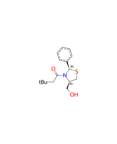 CC(C)(C)CC(=O)N1[C@H](CO)CS[C@@H]1c1ccccc1